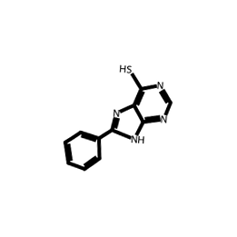 Sc1ncnc2[nH]c(-c3ccccc3)nc12